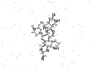 CC1CN(c2cc(F)c(C3=CCCNC3c3ccnc(C#N)n3)c(F)c2NC(=O)c2c[nH]c(=O)cc2C(F)F)CCN1C